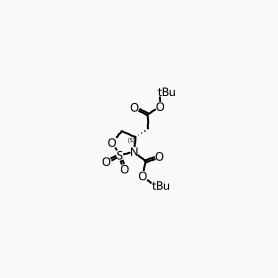 CC(C)(C)OC(=O)C[C@H]1COS(=O)(=O)N1C(=O)OC(C)(C)C